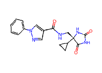 O=C1NC(=O)[C@](CNC(=O)c2cnn(-c3ccccc3)c2)(C2CC2)N1